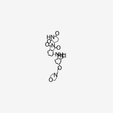 Cl.O=C1CCC(N2C(=O)c3cccc(Nc4ccc(OCCN5CCOCC5)cc4F)c3C2=O)C(=O)N1